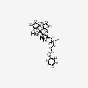 C[N+](C)(CCCOc1ccccc1)Cc1nnc(C(O)(c2cccs2)c2cccs2)o1